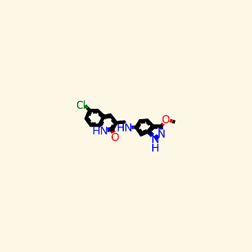 COc1n[nH]c2cc(NCc3cc4cc(Cl)ccc4[nH]c3=O)ccc12